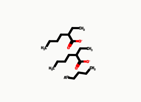 CCCCC(CC)C(=O)[O-].CCCCC(CC)C(=O)[O-].CCC[CH2][Al+2]